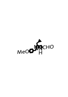 COc1ccc(Cn2nc(CC3CC3)c3cc(C=O)[nH]c32)cc1